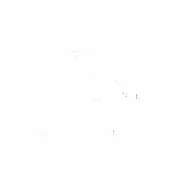 CCn1nc(C)c(Cl)c1/C(OC(C)OC(=O)OC)=C(\C#N)c1ccc(C(C)(C)C)cc1